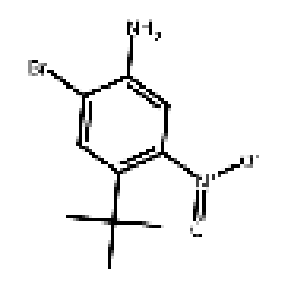 CC(C)(C)c1cc(Br)c(N)cc1[N+](=O)[O-]